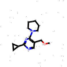 COCc1cnc(C2CC2)nc1N1CCCCC1